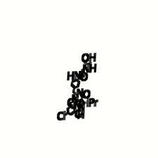 CC(CO)NCC(=O)Nc1ccc(Cc2nc3n(-c4c(Cl)cc(Cl)cc4Cl)[nH]c(C(C)C)c-3c(=O)n2)cc1